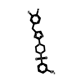 O=S(=O)(c1cccc(C(F)(F)F)c1)N1CCN(c2nc(Cc3ccc(F)c(F)c3)cs2)CC1